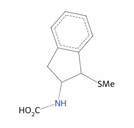 CSC1c2ccccc2CC1NC(=O)O